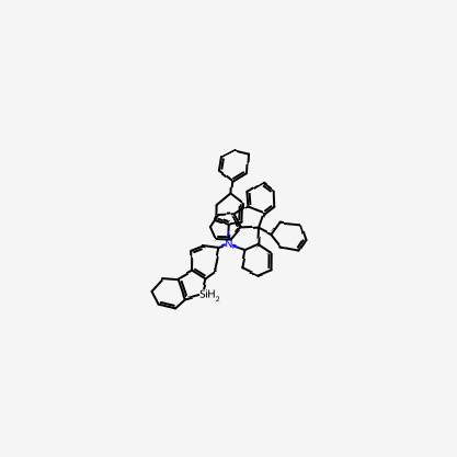 C1=CC(C2C=CC(N(C3C=CC4=C(C3)[SiH2]C3=C4CCC=C3)C3CCC=CC3C3(C4CC=CCC4)C4=C(CCC=C4)c4ccccc43)=CC2)=CCC1